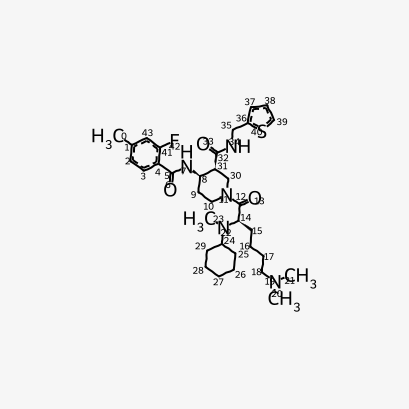 Cc1ccc(C(=O)N[C@@H]2CCN(C(=O)[C@@H](CCCCN(C)C)N(C)C3CCCCC3)C[C@@H]2C(=O)NCc2cccs2)c(F)c1